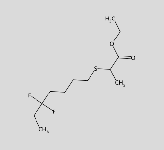 CCOC(=O)C(C)SCCCCC(F)(F)CC